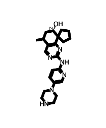 CC1C[C@H](O)C2(CCCC2)c2nc(Nc3ccc(N4CCNCC4)cn3)ncc21